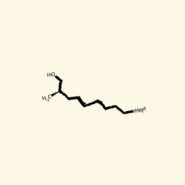 CCCCCCCCCCCC=CC[C@@H](C)CO